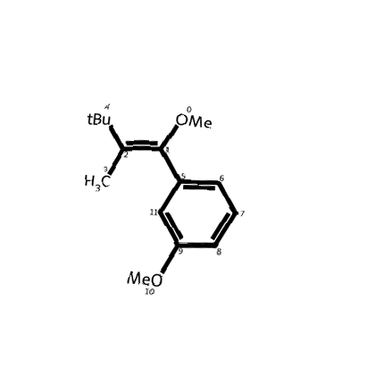 COC(=C(C)C(C)(C)C)c1cccc(OC)c1